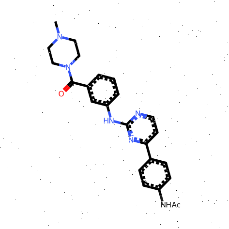 CC(=O)Nc1ccc(-c2ccnc(Nc3cccc(C(=O)N4CCN(C)CC4)c3)n2)cc1